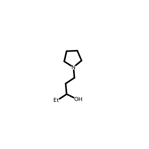 CCC(O)CCN1CCCC1